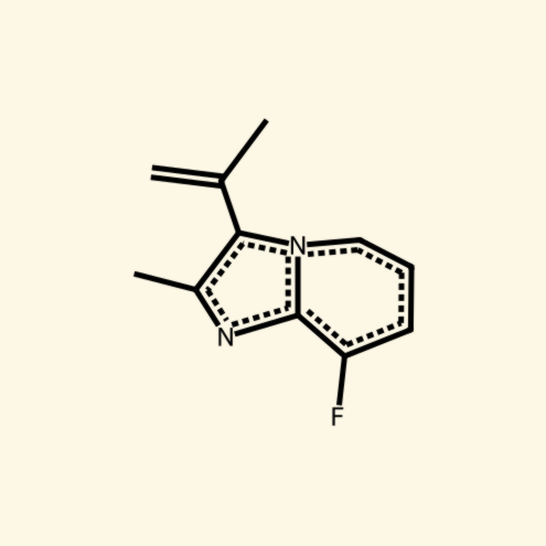 C=C(C)c1c(C)nc2c(F)cccn12